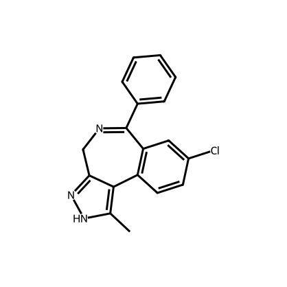 Cc1[nH]nc2c1-c1ccc(Cl)cc1C(c1ccccc1)=NC2